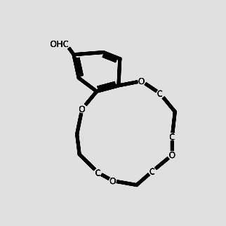 O=Cc1ccc2c(c1)OCCCOCCOCCCO2